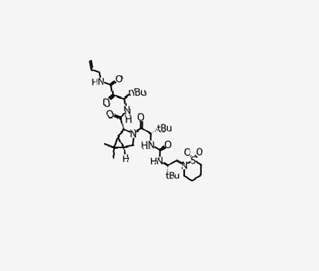 C=CCNC(=O)C(=O)C(CCCC)NC(=O)[C@@H]1C2[C@H](CN1C(=O)[C@@H](NC(=O)N[C@H](CN1CCCCS1(=O)=O)C(C)(C)C)C(C)(C)C)C2(C)C